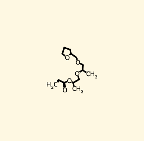 C=CC(=O)OC(C)COC(C)COCC1CCCO1